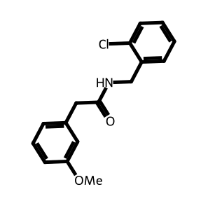 COc1cccc(CC(=O)NCc2ccccc2Cl)c1